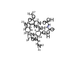 C=CC(=O)Nc1cc(Nc2ncc(C(=O)OC(C)C)c(-c3cn(C)c4ccccc34)n2)c(OC)cc1N(C)CCN(C)C.O=C(O)/C=C/C(=O)O